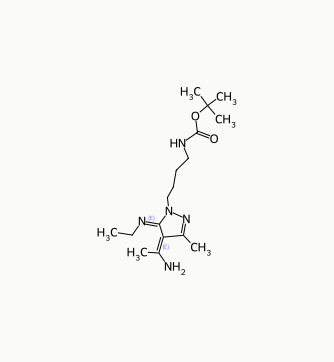 CC/N=C1\C(=C(/C)N)C(C)=NN1CCCCNC(=O)OC(C)(C)C